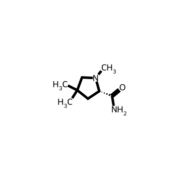 CN1CC(C)(C)C[C@H]1C(N)=O